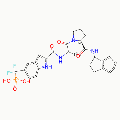 CC(C)(C)C(NC(=O)c1cc2cc(C(F)(F)P(=O)(O)O)ccc2[nH]1)C(=O)N1CCC[C@H]1C(=O)NC1CCc2ccccc21